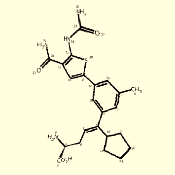 Cc1cc(/C(=C/C[C@H](N)C(=O)O)C2CCCC2)cc(-c2cc(C(N)=O)c(NC(N)=O)s2)c1